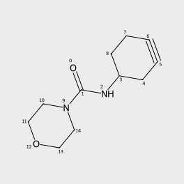 O=C(NC1CC#CCC1)N1CCOCC1